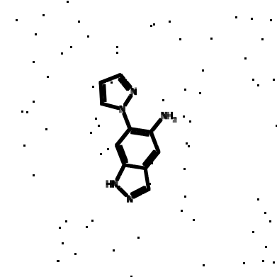 Nc1cc2cn[nH]c2cc1-n1cccn1